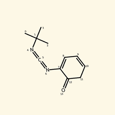 CC(C)(C)N=C=NC1=CC=CCC1=O